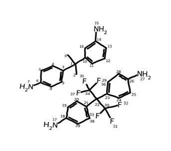 CC(C)(c1ccc(N)cc1)c1cccc(N)c1.Nc1ccc(C(c2ccc(N)cc2)(C(F)(F)F)C(F)(F)F)cc1